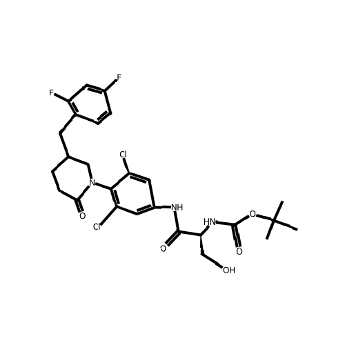 CC(C)(C)OC(=O)N[C@@H](CO)C(=O)Nc1cc(Cl)c(N2CC(Cc3ccc(F)cc3F)CCC2=O)c(Cl)c1